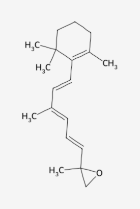 CC(C=CC1=C(C)CCCC1(C)C)=CC=CC1(C)CO1